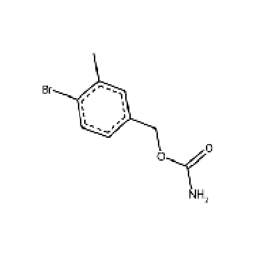 Cc1cc(COC(N)=O)ccc1Br